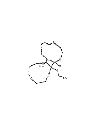 SCSC1(C2(S)SCCSCCSC2S)CCCCCCCC1